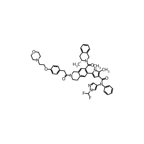 Cc1c(C(=O)N(c2ccccc2)c2cnn(C(F)F)c2)cc(-c2cc3c(cc2C(=O)N2Cc4ccccc4C[C@H]2C)CN(C(=O)Cc2ccc(OCCN4CCOCC4)cc2)CC3)n1C